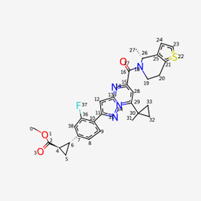 COC(=O)[C@@H]1C[C@H]1c1ccc(-c2cc3nc(C(=O)N4CCc5sccc5[C@H]4C)cc(C4(C)CC4)n3n2)c(F)c1